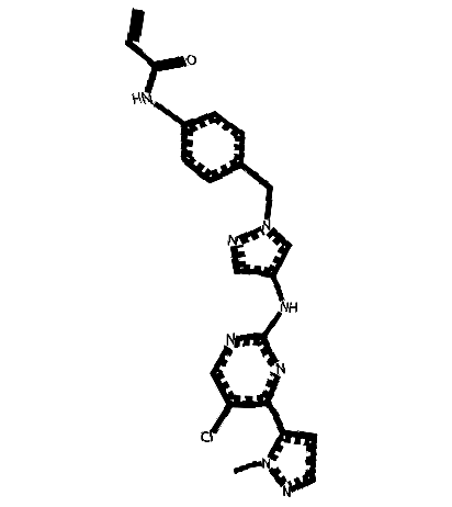 C=CC(=O)Nc1ccc(Cn2cc(Nc3ncc(Cl)c(-c4ccnn4C)n3)cn2)cc1